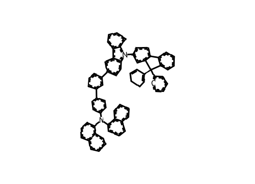 C1=CC(C2(c3ccccc3)c3ccccc3-c3ccc(-n4c5ccccc5c5cc(-c6cccc(-c7ccc(N(c8cccc9ccccc89)c8cccc9ccccc89)cc7)c6)ccc54)cc32)=CCC1